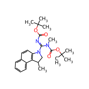 CC1CN(C(=NC(=O)OC(C)(C)C)N(C)C(=O)OC(C)(C)C)c2ccc3ccccc3c21